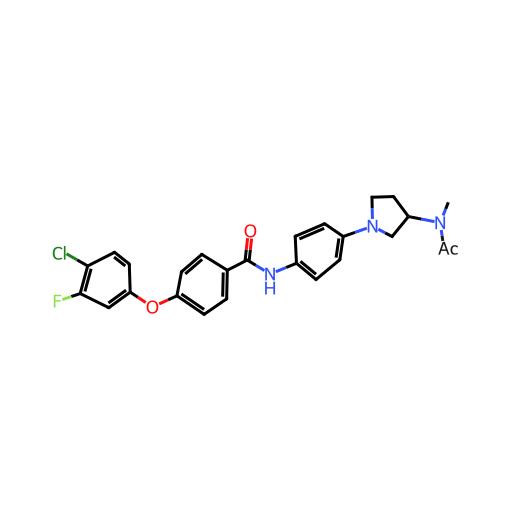 CC(=O)N(C)C1CCN(c2ccc(NC(=O)c3ccc(Oc4ccc(Cl)c(F)c4)cc3)cc2)C1